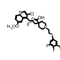 COc1ccc2ncc(Cl)c([C@@H](F)CCC3(C(=O)O)CCN(CCSc4cc(F)c(F)c(F)c4)CC3)c2c1